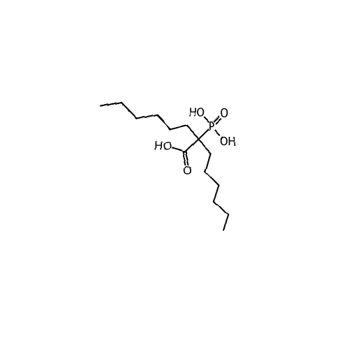 CCCCCCC(CCCCCC)(C(=O)O)P(=O)(O)O